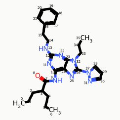 CCCC(CCC)C(=O)Nc1nc(NCCc2ccccc2)nc2c1nc(-n1cccn1)n2CCC